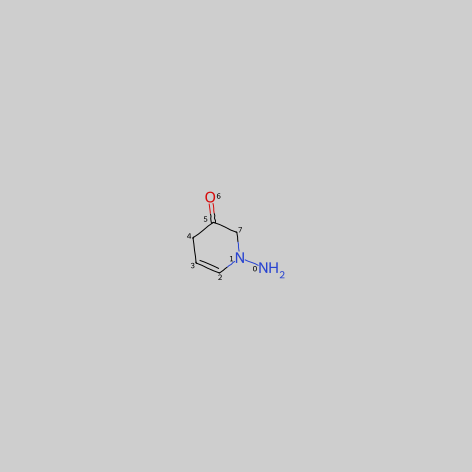 NN1C=CCC(=O)C1